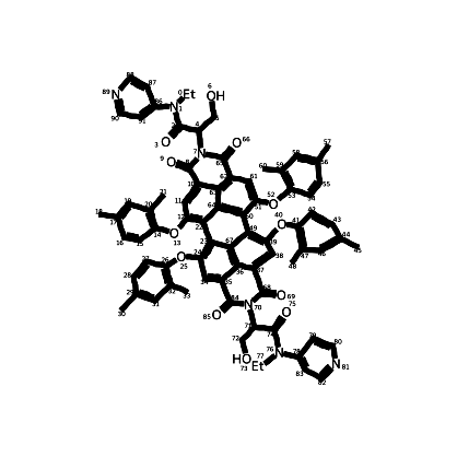 CCN(C(=O)C(CO)N1C(=O)c2cc(Oc3ccc(C)cc3C)c3c4c(Oc5ccc(C)cc5C)cc5c6c(cc(Oc7ccc(C)cc7C)c(c7c(Oc8ccc(C)cc8C)cc(c2c37)C1=O)c64)C(=O)N(C(CO)C(=O)N(CC)c1ccncc1)C5=O)c1ccncc1